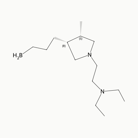 BCCC[C@H]1CN(CCN(CC)CC)C[C@H]1C